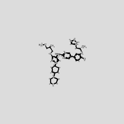 COCC(C)COc1nn(C2CCC(N3CCOCC3)CC2)cc1Nc1ncc(-c2ccc(Cl)c(O[C@@H](C)Cn3cnnn3)c2)cn1